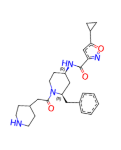 O=C(N[C@@H]1CCN(C(=O)CC2CCNCC2)[C@H](Cc2ccccc2)C1)c1cc(C2CC2)on1